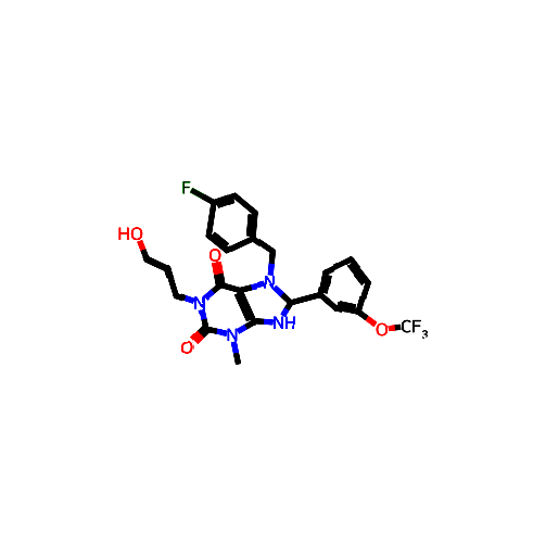 Cn1c2c(c(=O)n(CCCO)c1=O)N(Cc1ccc(F)cc1)C(c1cccc(OC(F)(F)F)c1)N2